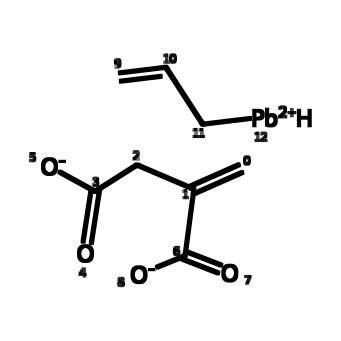 C=C(CC(=O)[O-])C(=O)[O-].C=C[CH2][PbH+2]